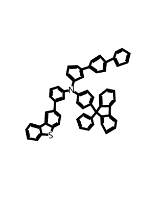 c1ccc(-c2ccc(-c3cccc(N(c4ccc(C5(c6ccccc6)c6ccccc6-c6ccccc65)cc4)c4cccc(-c5ccc6sc7ccccc7c6c5)c4)c3)cc2)cc1